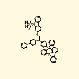 CC1(C)c2ccccc2-c2ccc(CCC(c3ccc(-c4ccccc4)cc3)c3ccc(C4(c5ccccc5)c5ccccc5-n5c6ccccc6c6cccc4c65)cc3)cc21